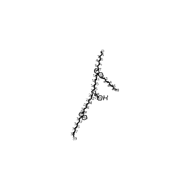 CCCCCCCCOC(CCCCCCCN(CCO)CCCCCCCCOC(=O)CCCCCCCC)OCCCCCCCC